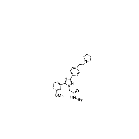 COc1cccc(-c2nc(-c3ccc(CCN4CCCC4)cc3)nn2CC(=O)NC(C)C)c1